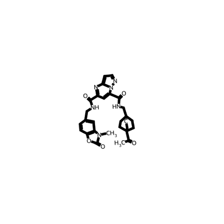 CC(=O)C12CCC(CNC(=O)c3cc(C(=O)NCc4ccc5oc(=O)n(C)c5c4)nc4ccnn34)(CC1)CC2